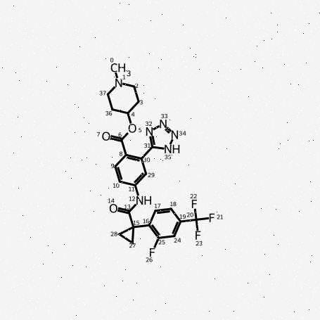 CN1CCC(OC(=O)c2ccc(NC(=O)C3(c4ccc(C(F)(F)F)cc4F)CC3)cc2-c2nnn[nH]2)CC1